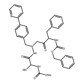 COC(=O)NC(C(=O)NN(CC(=O)C(Cc1ccccc1)NC(=O)OCc1ccccc1)Cc1ccc(-c2ccccn2)cc1)C(C)(C)C